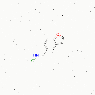 ClNCc1ccc2occc2c1